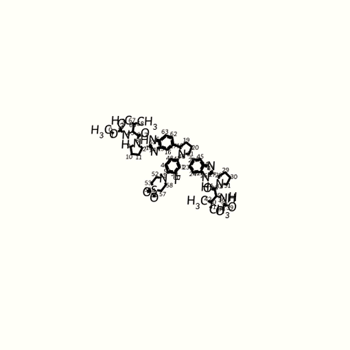 COC(=O)N[C@H](C(=O)N1CCC[C@H]1c1nc2cc(C3CC[C@H](c4ccc5[nH]c([C@@H]6CCCN6C(=O)[C@@H](NC(=O)O)C(C)C)nc5c4)N3c3ccc(N4CCS(=O)(=O)CC4)c(F)c3)ccc2[nH]1)C(C)C